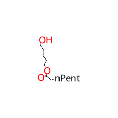 CCCCCCC(=O)OCCCCCO